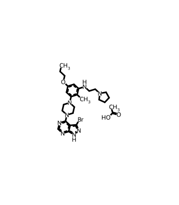 CC(=O)O.CCCOc1cc(NCCN2CCCC2)c(C)c(N2CCN(c3ncnc4[nH]nc(Br)c34)CC2)c1